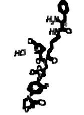 Cl.N[C@@H](Cc1ccccc1)C(=O)NCCCCC(=O)N(C[C@H]1CN(c2ccc(N3CCOCC3=O)cc2F)C(=O)O1)C(=O)c1ccc(Cl)s1